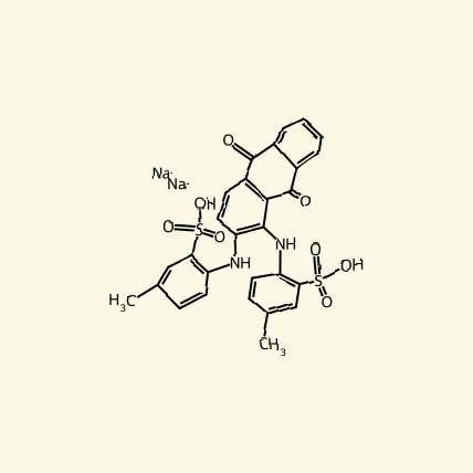 Cc1ccc(Nc2ccc3c(c2Nc2ccc(C)cc2S(=O)(=O)O)C(=O)c2ccccc2C3=O)c(S(=O)(=O)O)c1.[Na].[Na]